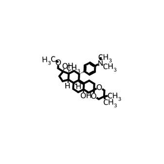 COC[C@]1(O)CC[C@H]2[C@@H]3CC[C@@]4(O)CC5(CCC4=C3[C@@H](c3ccc(N(C)C)cc3)C[C@@]21C)OCC(C)(C)CO5